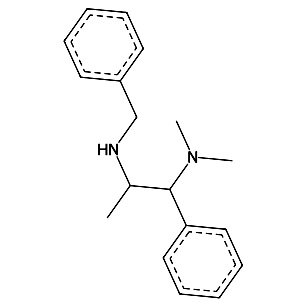 CC(NCc1ccccc1)C(c1ccccc1)N(C)C